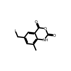 Cc1cc(CI)cc2c(=O)oc(=O)[nH]c12